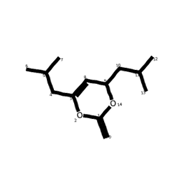 C=C1OC(CC(C)C)=CC(CC(C)C)O1